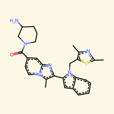 Cc1nc(C)c(Cn2c(-c3nc4cc(C(=O)N5CCCC(N)C5)ccn4c3C)cc3ccccc32)s1